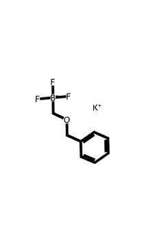 F[B-](F)(F)COCc1ccccc1.[K+]